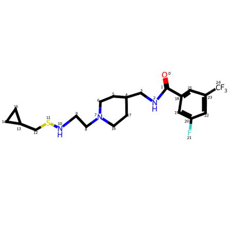 O=C(NCC1CCN(CCNSCC2CC2)CC1)c1cc(F)cc(C(F)(F)F)c1